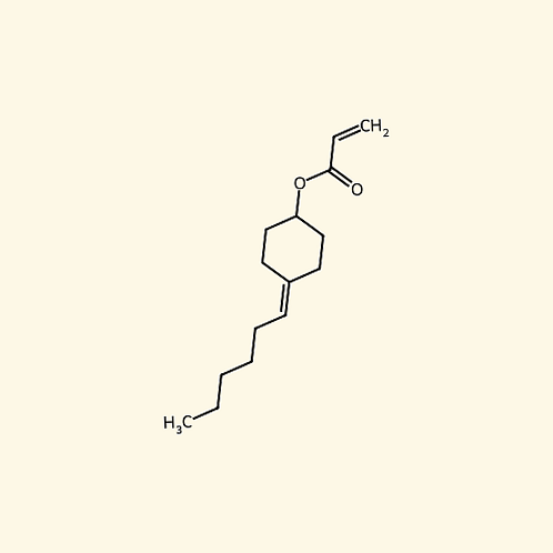 C=CC(=O)OC1CCC(=CCCCCC)CC1